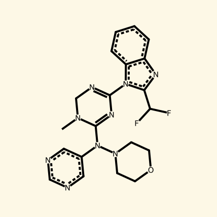 CN1CN=C(n2c(C(F)F)nc3ccccc32)N=C1N(c1cncnc1)N1CCOCC1